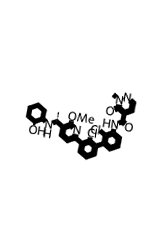 COc1nc(-c2cccc(-c3cccc(NC(=O)c4ccnn(C)c4=O)c3Cl)c2Cl)ccc1[C@@H](C)NC1CCCC[C@@H]1O